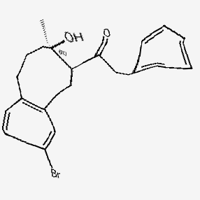 C[C@@]1(O)CCc2ccc(Br)cc2CC1C(=O)Cc1ccccc1